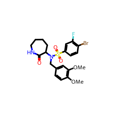 COc1ccc(CN(C2CCCCNC2=O)S(=O)(=O)c2ccc(Br)c(F)c2)cc1OC